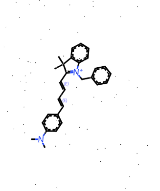 CN(C)c1ccc(/C=C/C=C/C2=[N+](Cc3ccccc3)c3ccccc3C2(C)C)cc1